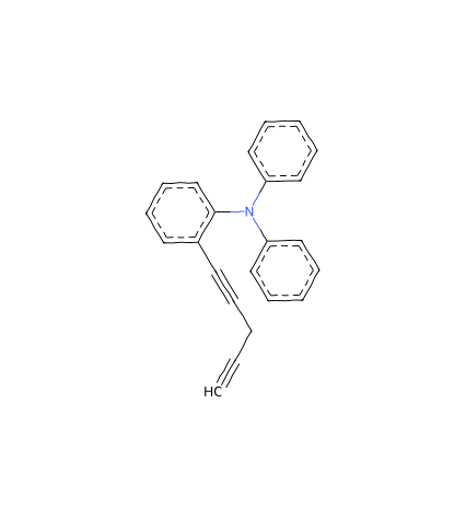 C#CCC#Cc1ccccc1N(c1ccccc1)c1ccccc1